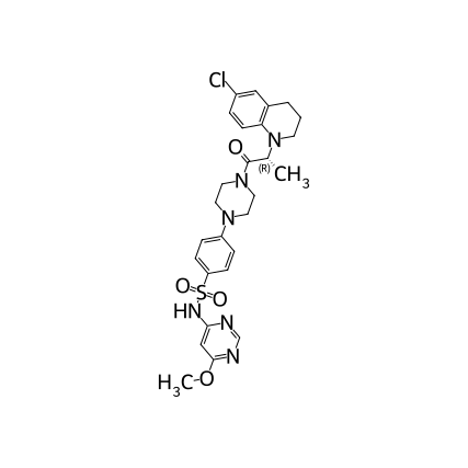 COc1cc(NS(=O)(=O)c2ccc(N3CCN(C(=O)[C@@H](C)N4CCCc5cc(Cl)ccc54)CC3)cc2)ncn1